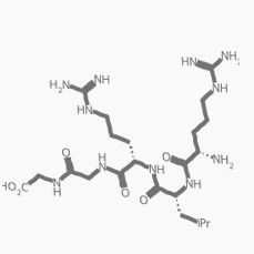 CC(C)C[C@@H](NC(=O)[C@@H](N)CCCNC(=N)N)C(=O)N[C@@H](CCCNC(=N)N)C(=O)NCC(=O)NCC(=O)O